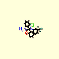 NC(=O)C(Nc1cccc(C(F)(F)F)c1)(c1ccccc1Cl)C1CCCCC1